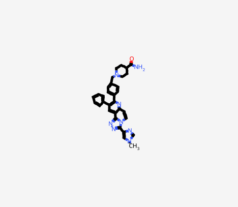 Cn1cnc(-c2nnc3c4cc(-c5ccccc5)c(-c5ccc(CN6CCC(C(N)=O)CC6)cc5)nc4ccn23)c1